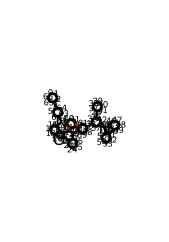 c1ccc(-c2ccc(N(c3ccccc3)c3cccc4oc5c6ccccc6c(-c6ccc(-c7cc(-c8ccccc8)cc(-n8c9ccccc9c9ccccc98)c7)cc6)cc5c34)cc2)cc1